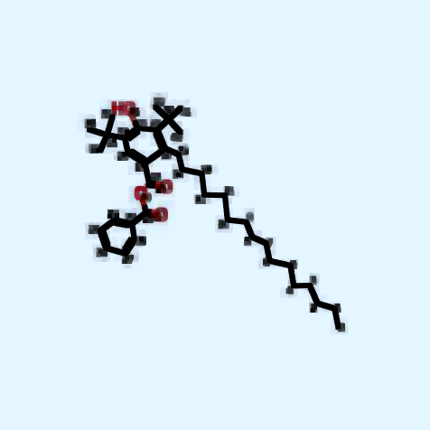 CCCCCCCCCCCCCCCCc1c(C(=O)OC(=O)c2ccccc2)cc(C(C)(C)C)c(O)c1C(C)(C)C